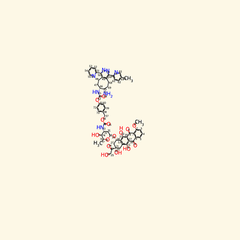 COc1cccc2c1C(=O)c1c(O)c3c(c(O)c1C2=O)C[C@@](O)(C(=O)CO)C[C@@H]3O[C@H]1C[C@@H](NC(=O)OCc2ccc(OC(=O)N[C@@H]3CCc4c(-c5ccccn5)nnc(-c5ccc(C)cn5)c4CC[C@@H]3N)cc2)[C@H](O)C(C)O1